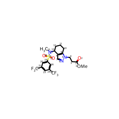 COC(=O)CCn1ncc2c1CCCC2N(C)S(=O)(=O)c1cc(C(F)(F)F)cc(C(F)(F)F)c1